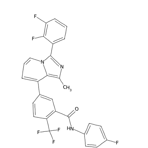 Cc1nc(-c2cccc(F)c2F)n2cccc(-c3ccc(C(F)(F)F)c(C(=O)Nc4ccc(F)cc4)c3)c12